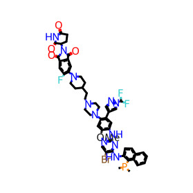 COc1cc(N2CCN(CCC3CCN(c4cc5c(cc4F)C(=O)N(C4CCC(=O)NC4=O)C5=O)CC3)CC2)c(-c2cnn(C(F)F)c2)cc1Nc1ncc(Br)c(Nc2ccc3ccccc3c2P(C)C)n1